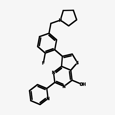 Oc1nc(-c2ccccn2)nc2c(-c3cc(CN4CCCC4)ccc3F)csc12